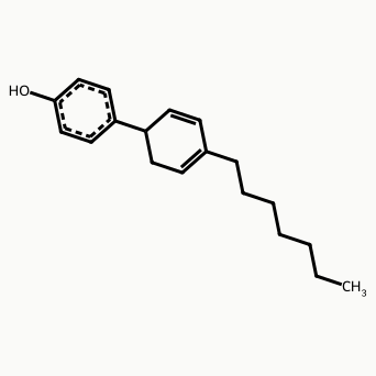 CCCCCCCC1=CCC(c2ccc(O)cc2)C=C1